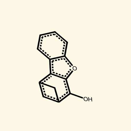 Oc1c2cc(c3c1oc1ccccc13)C2